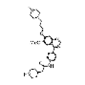 COc1cc2c(-c3ccc(NC(=O)CC4CCNCC4)cc3)ncnc2cc1OCCCN1CCN(C)CC1